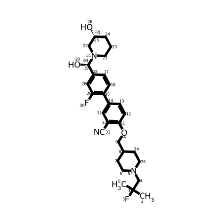 CC(C)(F)CN1CCC(COc2ccc(-c3ccc([C@@H](O)N4CCC[C@@H](O)C4)cc3F)cc2C#N)CC1